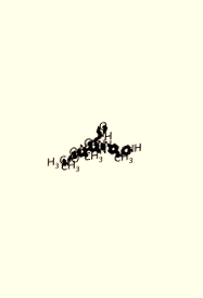 Cc1cc(S(=O)(=O)CCN(C)C)cnc1-c1cc2cnc(Nc3ccc(N(C)C4CCNCC4)cc3)nc2n(CCN2CCOCC2)c1=O